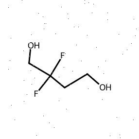 OCCC(F)(F)CO